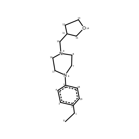 CCc1ccc(N2CCN(CC3CCOC3)CC2)cc1